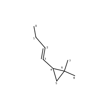 CCC=CC1CC1(C)C